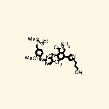 CCOP(Cc1ccc(Nc2ncc(C(F)(F)F)c(Nc3ccc(-c4cnn(CCCO)c4)c4c3C(=O)N(C)C4)n2)c(OC)c1)OC